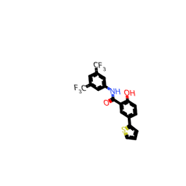 O=C(Nc1cc(C(F)(F)F)cc(C(F)(F)F)c1)c1cc(-c2cccs2)ccc1O